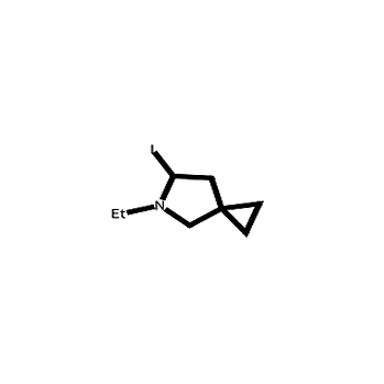 CCN1CC2(CC2)CC1I